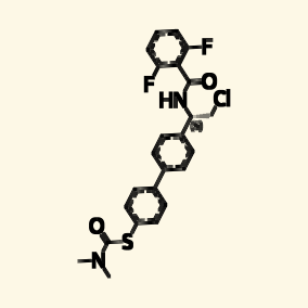 CN(C)C(=O)Sc1ccc(-c2ccc([C@@H](CCl)NC(=O)c3c(F)cccc3F)cc2)cc1